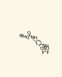 CC(C)(C)OC(=O)NCc1ccc(NS(=O)(=O)C(F)F)cc1